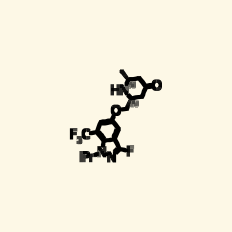 CC(C)n1nc(F)c2cc(OC[C@@H]3CC(=O)C[C@H](C)N3)cc(C(F)(F)F)c21